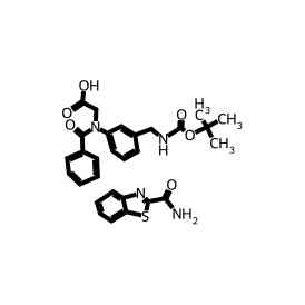 CC(C)(C)OC(=O)NCc1cccc(N(CC(=O)O)C(=O)c2ccccc2)c1.NC(=O)c1nc2ccccc2s1